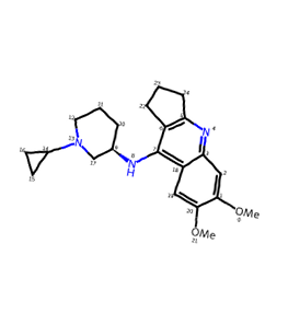 COc1cc2nc3c(c(N[C@@H]4CCCN(C5CC5)C4)c2cc1OC)CCC3